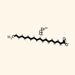 CCCCCCCCCCCCCCCCCC(=O)[O-].[Cl-].[Cl-].[Fe+3]